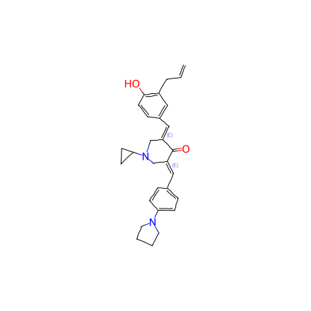 C=CCc1cc(/C=C2\CN(C3CC3)C/C(=C\c3ccc(N4CCCC4)cc3)C2=O)ccc1O